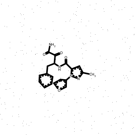 Cc1cc(C(=O)NC(Cc2ccccc2)C(=O)C(N)=O)n(-c2ccoc2)n1